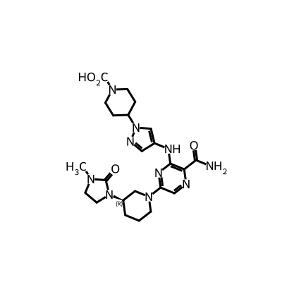 CN1CCN([C@@H]2CCCN(c3cnc(C(N)=O)c(Nc4cnn(C5CCN(C(=O)O)CC5)c4)n3)C2)C1=O